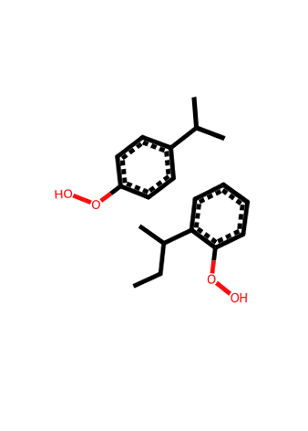 CC(C)c1ccc(OO)cc1.CCC(C)c1ccccc1OO